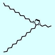 CCCCCCCCCCCCCCC1N(CCCC)C=CN1CCCCCCCCCCCC